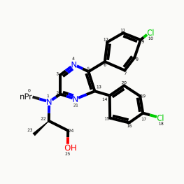 CCCN(c1cnc(-c2ccc(Cl)cc2)c(-c2ccc(Cl)cc2)n1)[C@H](C)CO